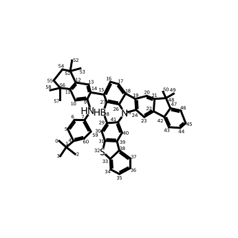 CC(C)(C)c1ccc(Nc2cc3c(cc2-c2ccc4c5cc6c(cc5n5c4c2Bc2cc4sc7ccccc7c4cc2-5)-c2ccccc2C6(C)C)C(C)(C)CCC3(C)C)cc1